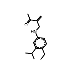 C=C(CNc1ccc(CC)c(C(C)C)c1)C(C)=O